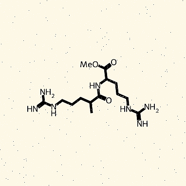 COC(=O)C(CCCNC(=N)N)NC(=O)C(C)CCCNC(=N)N